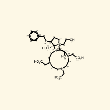 O=C(O)CN1CCN(CC(=O)O)CCN([C@@]2(C(=O)O)C(OCc3ccccc3)CC[N+]2(CCO)CCO)CCN(CC(=O)O)CC1